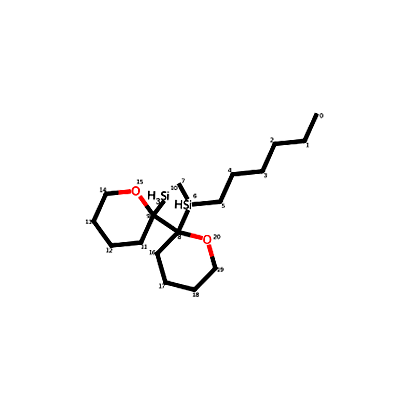 CCCCCC[SiH](C)C1(C2([SiH3])CCCCO2)CCCCO1